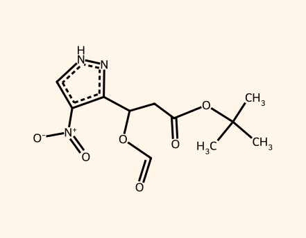 CC(C)(C)OC(=O)CC(OC=O)c1n[nH]cc1[N+](=O)[O-]